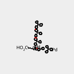 CS(=O)(=O)N(CCCCCCC(=O)O)Cc1ccc(-c2ccccc2)cc1.[Pd].c1ccc(P(c2ccccc2)c2ccccc2)cc1.c1ccc(P(c2ccccc2)c2ccccc2)cc1.c1ccc(P(c2ccccc2)c2ccccc2)cc1.c1ccc(P(c2ccccc2)c2ccccc2)cc1